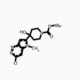 Cn1c(C2(O)CCN(C(=O)OC(C)(C)C)CC2)cc2nnc(Cl)cc21